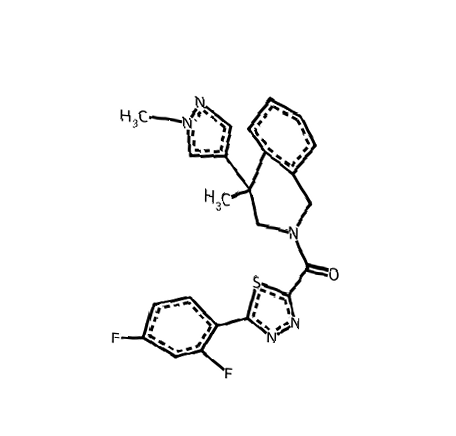 Cn1cc(C2(C)CN(C(=O)c3nnc(-c4ccc(F)cc4F)s3)Cc3ccccc32)cn1